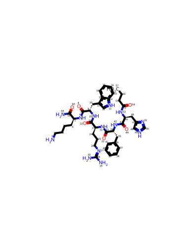 NCCCC[C@H](NC(=O)[C@H](Cc1c[nH]c2ccccc12)NC(=O)[C@H](CCCN=C(N)N)NC(=O)[C@@H](Cc1ccccc1)NC(=O)[C@H](Cc1c[nH]cn1)NC(=O)CCC(=O)O)C(N)=O